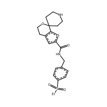 CCS(=O)(=O)c1ccc(CNC(=O)c2cc3c(s2)C2(CCNCC2)OCC3)cc1